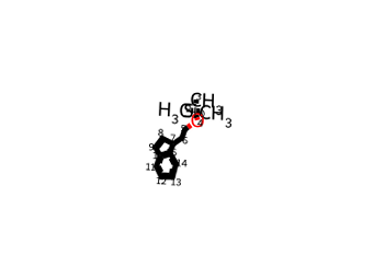 C[Si](C)(C)OCCC1C=Cc2ccccc21